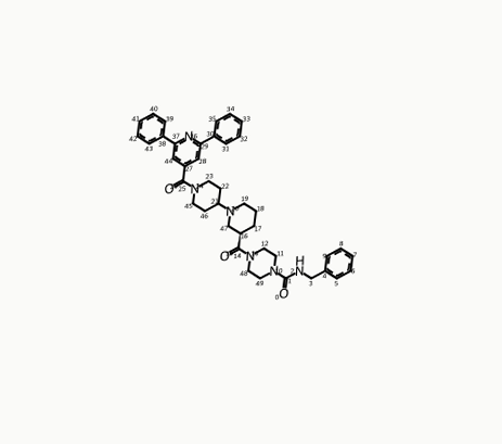 O=C(NCc1ccccc1)N1CCN(C(=O)[C@@H]2CCCN(C3CCN(C(=O)c4cc(-c5ccccc5)nc(-c5ccccc5)c4)CC3)C2)CC1